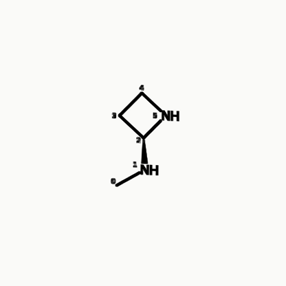 CN[C@H]1CCN1